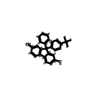 CC(C)(C)c1ccc(C2(c3ccccc3)c3cc(Cl)ccc3-c3ccc(Cl)cc32)cc1